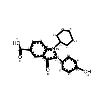 O=C(O)c1ccc2c(c1)c(=O)n(-c1ccc(O)cc1)n2C1CCCCC1